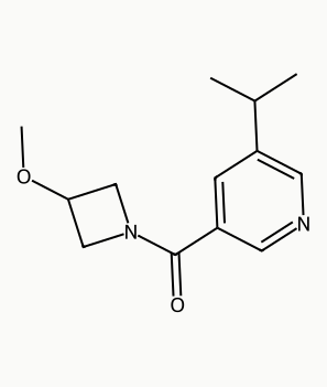 COC1CN(C(=O)c2cncc(C(C)C)c2)C1